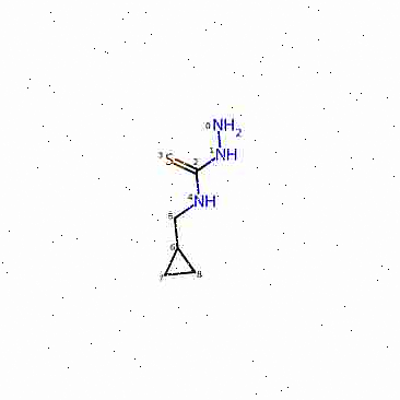 NNC(=S)NCC1CC1